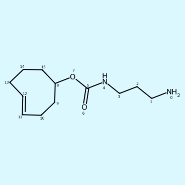 NCCCNC(=O)OC1CC/C=C/CCC1